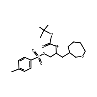 Cc1ccc(S(=O)(=O)OCC(CC2CCCCOC2)NC(=O)OC(C)(C)C)cc1